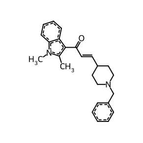 Cc1c(C(=O)/C=C/C2CCN(Cc3ccccc3)CC2)c2ccccc2n1C